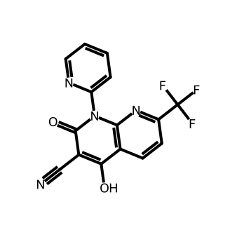 N#Cc1c(O)c2ccc(C(F)(F)F)nc2n(-c2ccccn2)c1=O